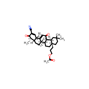 CC(=O)OCCC[C@]12CCC(C)(C)C[C@@H]1C1C(=O)C=C3[C@@]4(C)C=C(C#N)C(=O)[C@@H](C)[C@@H]4CC[C@@]3(C)[C@]1(C)CC2